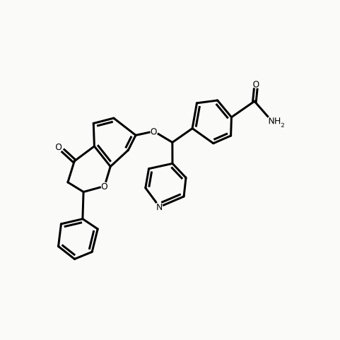 NC(=O)c1ccc(C(Oc2ccc3c(c2)OC(c2ccccc2)CC3=O)c2ccncc2)cc1